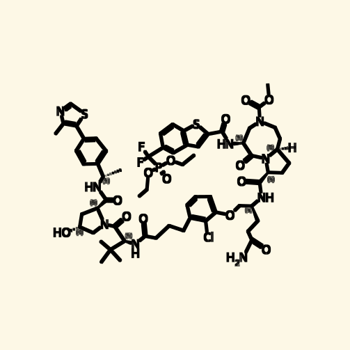 CCOP(=O)(OCC)C(F)(F)c1ccc2sc(C(=O)N[C@H]3CN(C(=O)OC)CC[C@H]4CC[C@@H](C(=O)N[C@@H](CCC(N)=O)COc5cccc(CCCC(=O)N[C@H](C(=O)N6C[C@H](O)C[C@H]6C(=O)N[C@@H](C)c6ccc(-c7scnc7C)cc6)C(C)(C)C)c5Cl)N4C3=O)cc2c1